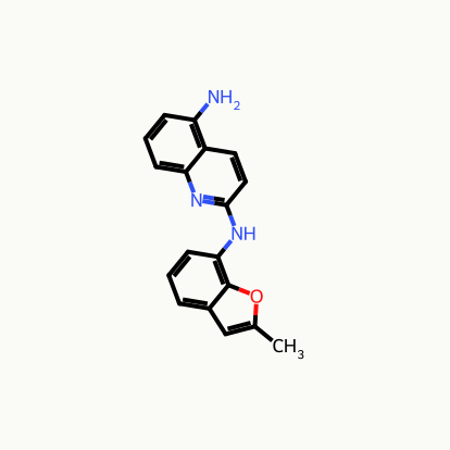 Cc1cc2cccc(Nc3ccc4c(N)cccc4n3)c2o1